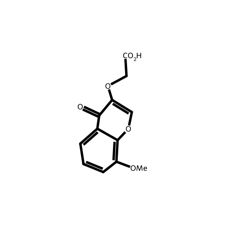 COc1cccc2c(=O)c(OCC(=O)O)coc12